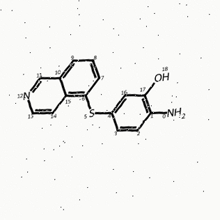 Nc1ccc(Sc2cccc3cnccc23)cc1O